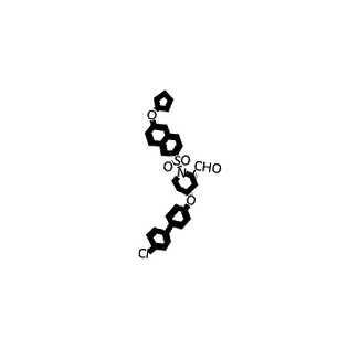 O=C[C@@H]1C[C@H](Oc2ccc(-c3ccc(Cl)cc3)cc2)CCN1S(=O)(=O)c1ccc2cc(OC3CCCC3)ccc2c1